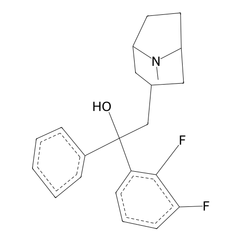 CN1C2CCC1CC(CC(O)(c1ccccc1)c1cccc(F)c1F)C2